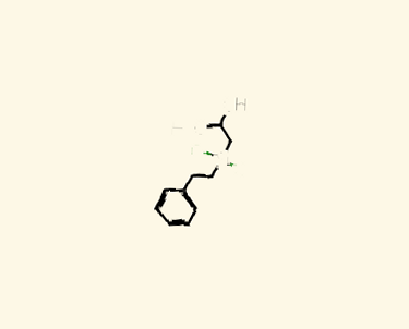 CC(C)C[Si](Cl)(Cl)CCc1ccccc1